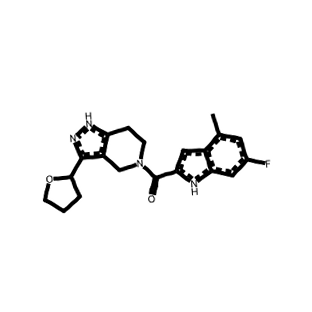 Cc1cc(F)cc2[nH]c(C(=O)N3CCc4[nH]nc(C5CCCO5)c4C3)cc12